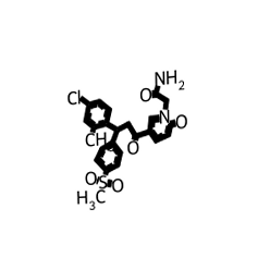 Cc1cc(Cl)ccc1C(CC(=O)c1ccc(=O)n(CC(N)=O)c1)c1ccc(S(C)(=O)=O)cc1